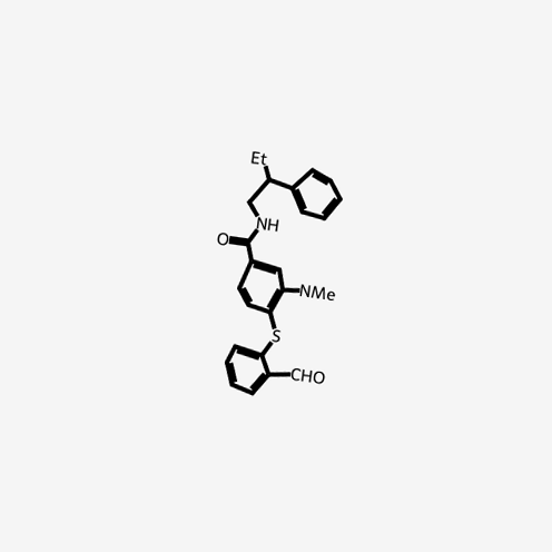 CCC(CNC(=O)c1ccc(Sc2ccccc2C=O)c(NC)c1)c1ccccc1